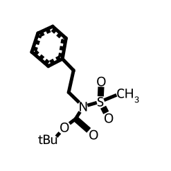 CC(C)(C)OC(=O)N(CCc1ccccc1)S(C)(=O)=O